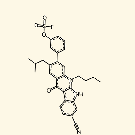 CCCCn1c2cc(-c3cccc(OS(=O)(=O)F)c3)c(CC(C)C)cc2c(=O)c2c3ccc(C#N)cc3[nH]c21